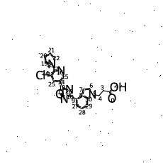 O=C(O)CCn1ccc2c(-c3noc(-c4cnc(-n5cccc5)c(Cl)c4)n3)cccc21